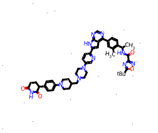 Cc1cc(-c2ncnc3[nH]c(-c4ccc(N5CCN(CC6CCN(c7ccc(C8CCC(=O)NC8=O)cc7)CC6)CC5)cn4)cc23)ccc1C(C)NC(=O)c1noc(C(C)(C)C)n1